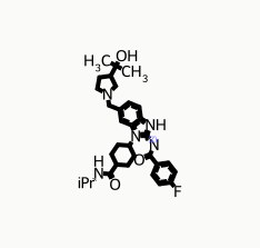 CC(C)NC(=O)C1CCC(n2/c(=N\C(=O)c3ccc(F)cc3)[nH]c3ccc(CN4CCC(C(C)(C)O)C4)cc32)CC1